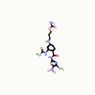 CC(=O)Nc1cc(NCCCOC(N)=O)ccc1C(=O)Nc1nc(C)c([N+](=O)[O-])s1